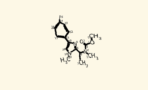 COC(=O)N(C)C(C)c1nc(-c2ccc(I)cc2)cn1C